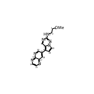 COCCNc1ncc2c(-c3cnc4nccnc4c3)ccn2n1